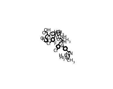 CC(NCc1c(F)cc(Cl)cc1Oc1ccc(-c2cnc(CN(C)C)n2C)cc1)C(=O)NC(CO)C(=O)N(C)C1(Cc2ccc(Cl)cc2)CCCN(C(=O)C(CC(=O)O)Cc2cccc[n+]2[O-])C1